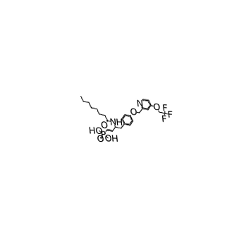 CCCCCCCC(=O)NC(C=CP(=O)(O)O)Cc1ccc(OCc2cc(OCC(F)(F)F)ccn2)cc1